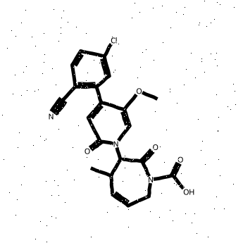 COc1cn(C2C(=O)N(C(=O)O)CC=CC2C)c(=O)cc1-c1cc(Cl)ccc1C#N